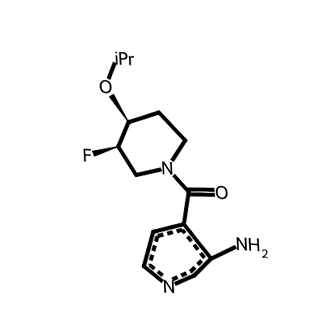 CC(C)O[C@H]1CCN(C(=O)c2ccncc2N)C[C@H]1F